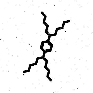 CCCCCN(CCCCC)c1ccc(N(CCCCC)CCCCC)cc1